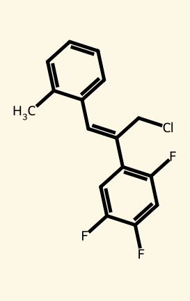 Cc1ccccc1C=C(CCl)c1cc(F)c(F)cc1F